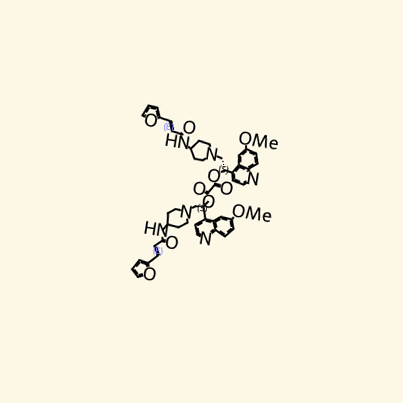 COc1ccc2nccc([C@@H](CN3CCC(NC(=O)/C=C/c4ccco4)CC3)OC(=O)C(=O)O[C@H](CN3CCC(NC(=O)/C=C/c4ccco4)CC3)c3ccnc4ccc(OC)cc34)c2c1